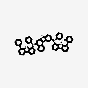 Cc1ccccc1-c1cccc2c1oc1c(N(c3ccccc3)c3ccc4oc5cc(N(c6ccccc6)c6cccc7c6oc6c(-c8ccccc8)cccc67)c6ccccc6c5c4c3)cccc12